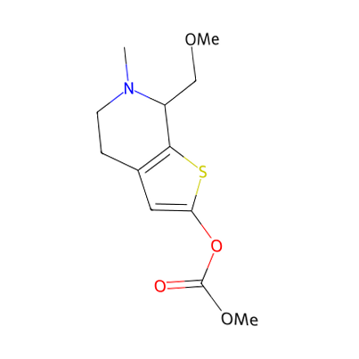 COCC1c2sc(OC(=O)OC)cc2CCN1C